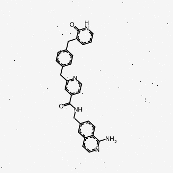 Nc1nccc2cc(CNC(=O)c3ccnc(Cc4ccc(Cc5ccc[nH]c5=O)cc4)c3)ccc12